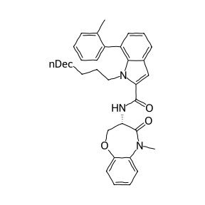 CCCCCCCCCCCCCn1c(C(=O)N[C@H]2COc3ccccc3N(C)C2=O)cc2cccc(-c3ccccc3C)c21